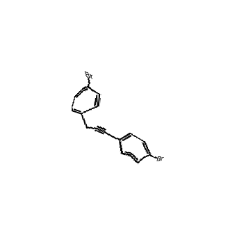 Brc1ccc(C#CCc2ccc(Br)cc2)cc1